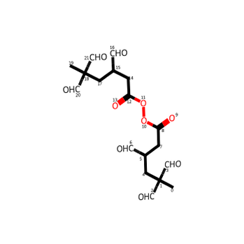 CC(C=O)(C=O)CC(C=O)CC(=O)OOC(=O)CC(C=O)CC(C)(C=O)C=O